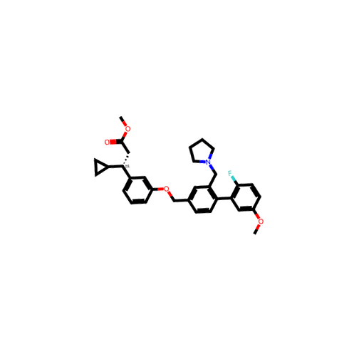 COC(=O)C[C@H](c1cccc(OCc2ccc(-c3cc(OC)ccc3F)c(CN3CCCC3)c2)c1)C1CC1